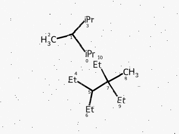 CC(C)C(C)C(C)C.CCC(CC)C(C)(CC)CC